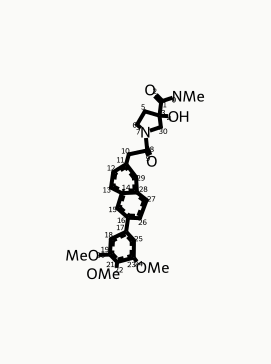 CNC(=O)C1(O)CCN(C(=O)Cc2ccc3cc(-c4cc(OC)c(OC)c(OC)c4)ccc3c2)C1